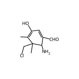 CC1=C(O)C=C(C=O)C(N)C1(C)CCl